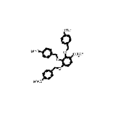 CCOC(=O)c1ccc(OCc2ccc(OC)cc2)c(OCc2ccc(OC)cc2)c1OCc1ccc(OC)cc1